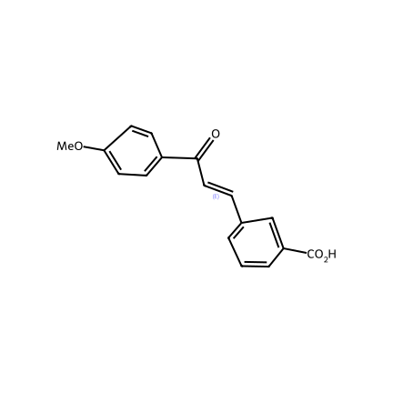 COc1ccc(C(=O)/C=C/c2cccc(C(=O)O)c2)cc1